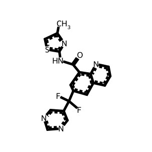 Cc1csc(NC(=O)c2cc(C(F)(F)c3cncnc3)cc3cccnc23)n1